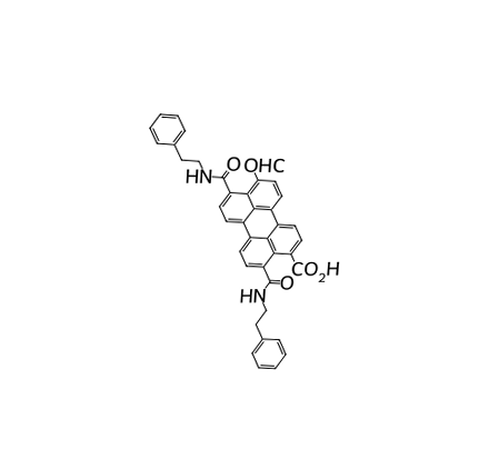 O=Cc1ccc2c3ccc(C(=O)O)c4c(C(=O)NCCc5ccccc5)ccc(c5ccc(C(=O)NCCc6ccccc6)c1c25)c43